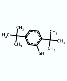 CC(C)(C)c1ccc(C(C)(C)C)c(S)c1